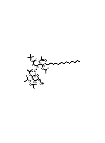 CCCCCCCCCCCCCC[C@@H](OC(C)=O)[C@@H](OC(C)=O)[C@H](CO[C@@H]1O[C@@H](CO)[C@@H](OC(C)=O)[C@H](OC(C)=O)[C@H]1OC(C)=O)NC(=O)OC(C)(C)C